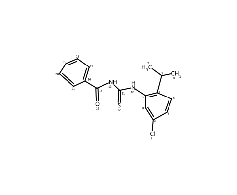 CC(C)c1ccc(Cl)cc1NC(=S)NC(=O)c1ccccc1